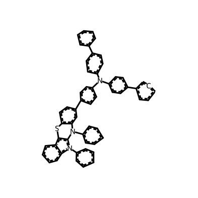 c1ccc(-c2ccc(N(c3ccc(-c4ccccc4)cc3)c3ccc(-c4ccc5c(c4)N(c4ccccc4)c4c(c6ccccc6n4-c4ccccc4)S5)cc3)cc2)cc1